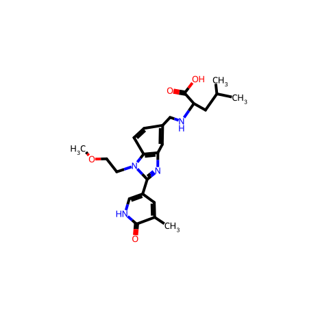 COCCn1c(-c2c[nH]c(=O)c(C)c2)nc2cc(CNC(CC(C)C)C(=O)O)ccc21